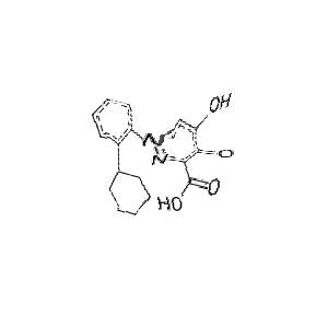 O=C(O)c1nn(-c2ccccc2C2CCCCC2)cc(O)c1=O